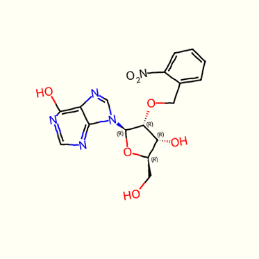 O=[N+]([O-])c1ccccc1CO[C@@H]1[C@H](O)[C@@H](CO)O[C@H]1n1cnc2c(O)ncnc21